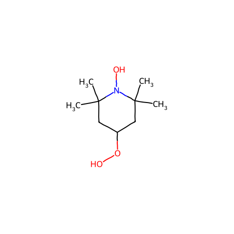 CC1(C)CC(OO)CC(C)(C)N1O